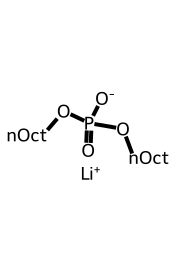 CCCCCCCCOP(=O)([O-])OCCCCCCCC.[Li+]